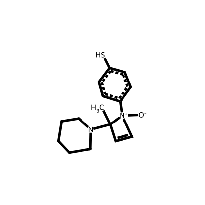 CC1(N2CCCCC2)C=C[N+]1([O-])c1ccc(S)cc1